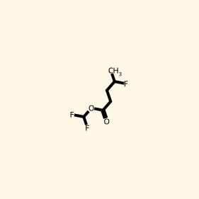 CC(F)CCC(=O)OC(F)F